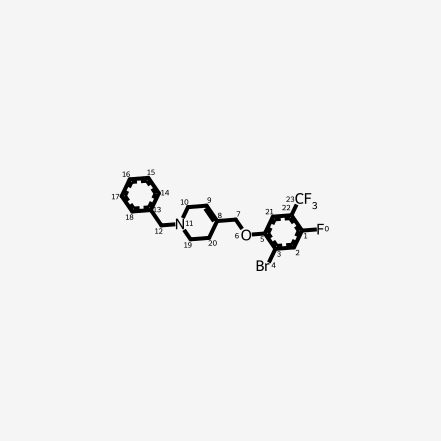 Fc1cc(Br)c(OCC2=CCN(Cc3ccccc3)CC2)cc1C(F)(F)F